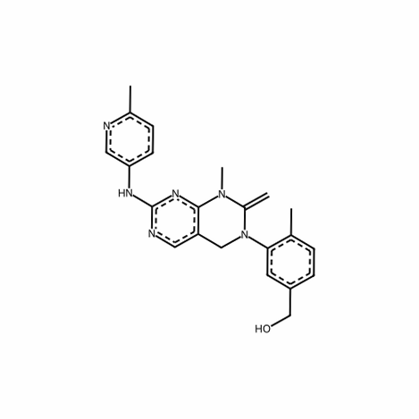 C=C1N(C)c2nc(Nc3ccc(C)nc3)ncc2CN1c1cc(CO)ccc1C